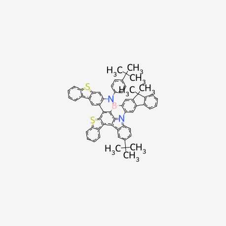 CC(C)(C)c1ccc(N2B3c4cc5c(cc4-n4c6ccc(C(C)(C)C)cc6c6c7c(sc8ccccc87)c(c3c64)-c3cc4c(cc32)sc2ccccc24)-c2ccccc2C5(C)C)cc1